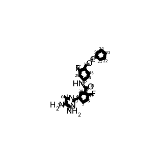 Cc1nc(-c2ccc(F)c(C(=O)Nc3ccc(COCc4ccccc4)c(F)c3)c2)nc(N)c1N